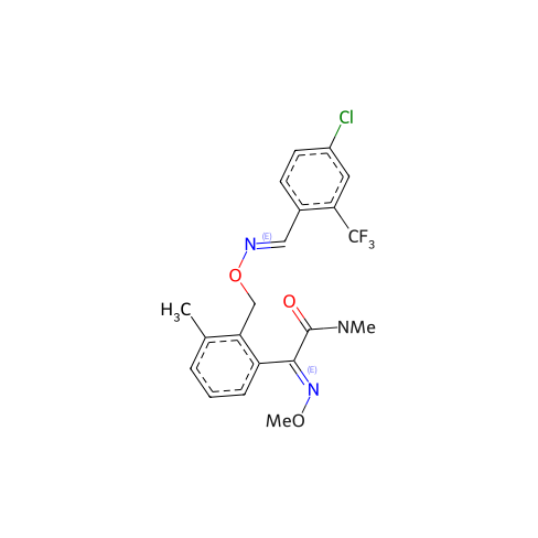 CNC(=O)/C(=N/OC)c1cccc(C)c1CO/N=C/c1ccc(Cl)cc1C(F)(F)F